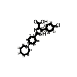 O=C(O)c1nc(-c2ccc(N3CCCCCC3)cc2)[nH]c1-c1ccc(Cl)cc1